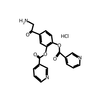 Cl.NCC(=O)c1ccc(OC(=O)c2cccnc2)c(OC(=O)c2cccnc2)c1